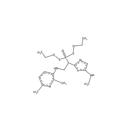 CCOSP(=O)(SOCC)C(CNc1ccc(C)nc1C)c1ncc(NC)s1